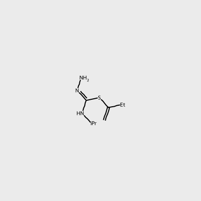 C=C(CC)S/C(=N\N)NC(C)C